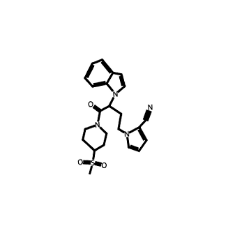 CS(=O)(=O)C1CCN(C(=O)C(CCn2cccc2C#N)n2ccc3ccccc32)CC1